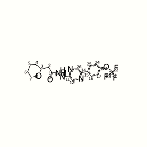 O=C(CC1CCCCO1)NNc1cnc(-c2ccc(OC(F)(F)F)cc2)cn1